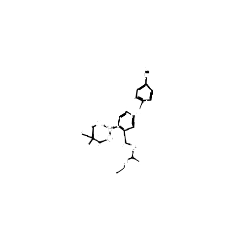 [C-]#[N+]c1ccc(Oc2ccc(B3OCC(C)(C)CO3)c(COC(C)OCC)c2)cc1